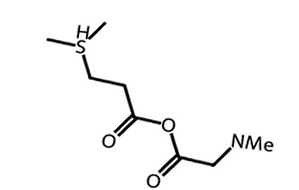 CNCC(=O)OC(=O)CC[SH](C)C